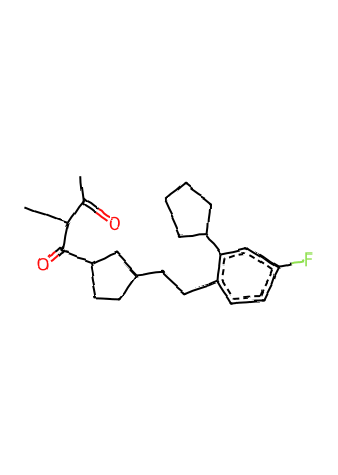 CC(=O)C(C)C(=O)C1CCC(CCc2ccc(F)cc2C2CCCC2)C1